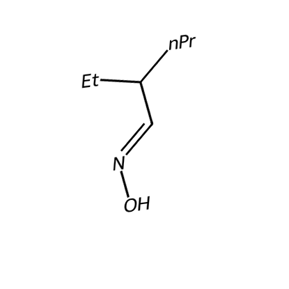 CCCC(C=NO)CC